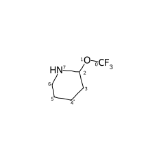 FC(F)(F)OC1C[CH]CCN1